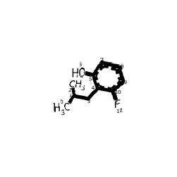 CC(C)Cc1c(O)cccc1F